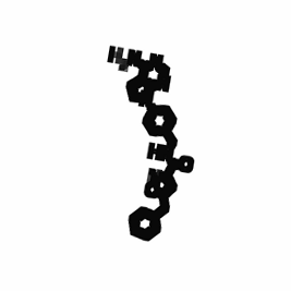 Nc1ncnc2c1ccn2-c1ccc(CNC(=O)c2cc(Cc3ccccc3)on2)cc1